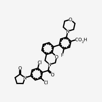 O=C(O)c1cc(F)c(-c2cccc3c2OCN(C(=O)c2c(Cl)cc(N4CCCC4=O)cc2Cl)C3)cc1N1CCOCC1